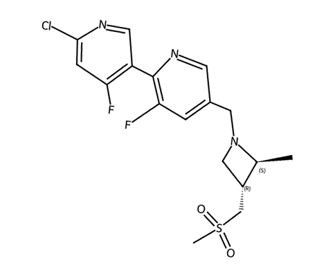 C[C@H]1[C@H](CS(C)(=O)=O)CN1Cc1cnc(-c2cnc(Cl)cc2F)c(F)c1